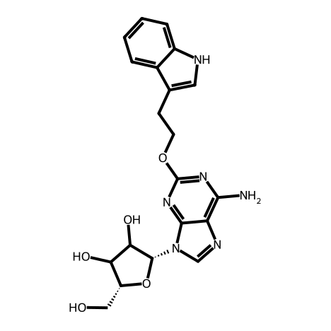 Nc1nc(OCCc2c[nH]c3ccccc23)nc2c1ncn2[C@@H]1O[C@H](CO)C(O)C1O